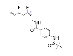 C=CC(F)C/C(F)=C\CNC(=O)C1C=CC(N[S+]([O-])C(C)(C)C)=CC1